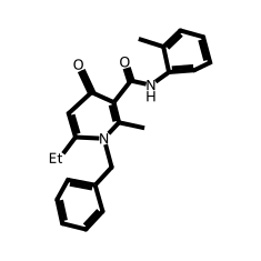 CCc1cc(=O)c(C(=O)Nc2ccccc2C)c(C)n1Cc1ccccc1